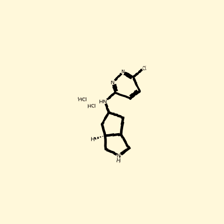 Cl.Cl.Clc1ccc(NC2CC3CNC[C@H]3C2)nn1